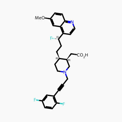 COc1ccc2nccc([C@@H](F)CC[C@@H]3CCN(CC#Cc4cc(F)ccc4F)C[C@@H]3CC(=O)O)c2c1